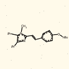 CCCCOc1ccc(C=Cc2nc(C(C)C)c(C(C)C)n2C)cc1